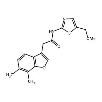 COCc1cnc(NC(=O)Cc2coc3c(C)c(C)ccc23)s1